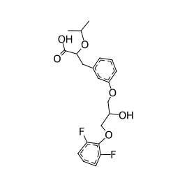 CC(C)OC(Cc1cccc(OCC(O)COc2c(F)cccc2F)c1)C(=O)O